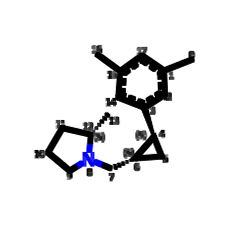 Cc1[c]c([C@H]2C[C@@H]2CN2CCC[C@@H]2C)cc(C)c1